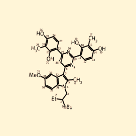 CCCCC(CC)Cn1c(C)c(-c2nc(-c3ccc(O)c(C)c3O)nc(-c3ccc(O)c(C)c3O)n2)c2cc(OC)ccc21